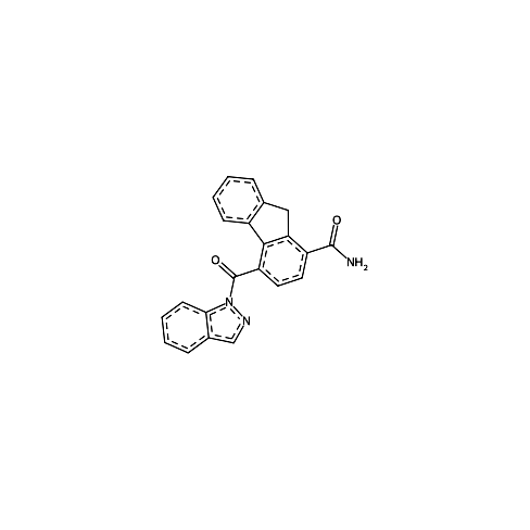 NC(=O)c1ccc(C(=O)n2ncc3ccccc32)c2c1Cc1ccccc1-2